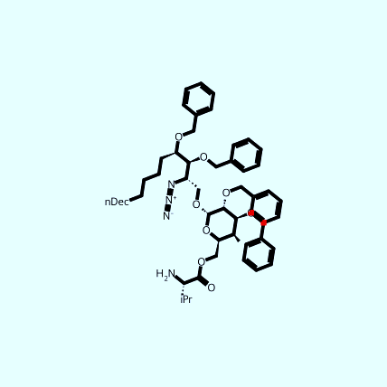 CCCCCCCCCCCCCC[C@@H](OCc1ccccc1)[C@@H](OCc1ccccc1)[C@H](CO[C@H]1O[C@H](COC(=O)[C@@H](N)C(C)C)[C@H](C)[C@H](OCc2ccccc2)[C@H]1OCc1ccccc1)N=[N+]=[N-]